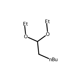 CCCCCC(OCC)OCC